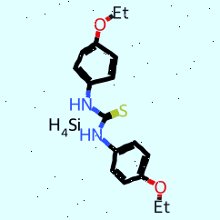 CCOc1ccc(NC(=S)Nc2ccc(OCC)cc2)cc1.[SiH4]